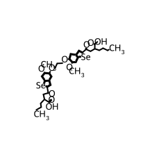 CCCCC(CC(=O)c1cc2cc(OCCCOc3cc4cc(C(=O)CC(CCCC)C(=O)O)[se]c4cc3OC)c(OC)cc2[se]1)C(=O)O